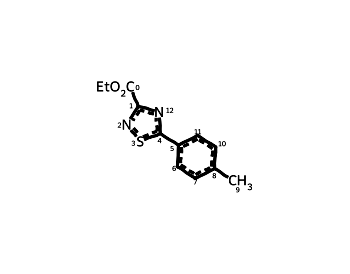 CCOC(=O)c1nsc(-c2ccc(C)cc2)n1